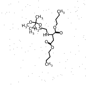 CCCCOC(=O)CC(NC[SiH2]OC(C)(OC)OC)C(=O)OCCCC